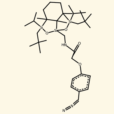 CC(C)[Si]1(CC(C)(C)C)O[Si]2(CNC(=O)COc3ccc(C=[N+]=[N-])cc3)O[Si](CC(C)(C)C)(C(C)C)C3(C)CCCC1(C)C32C